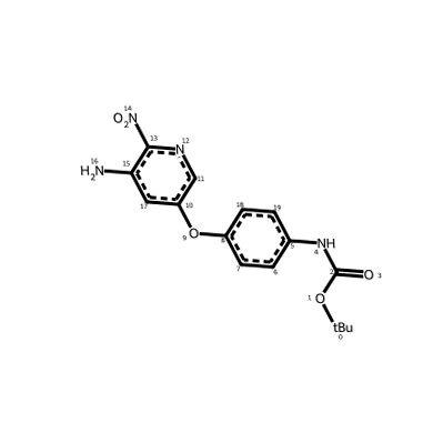 CC(C)(C)OC(=O)Nc1ccc(Oc2cnc([N+](=O)[O-])c(N)c2)cc1